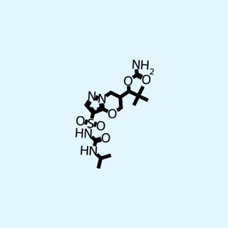 CC(C)NC(=O)NS(=O)(=O)c1cnn2c1OCC(C(OC(N)=O)C(C)(C)C)C2